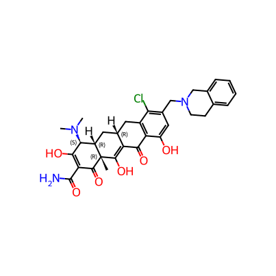 CN(C)[C@@H]1C(O)=C(C(N)=O)C(=O)[C@@]2(C)C(O)=C3C(=O)c4c(O)cc(CN5CCc6ccccc6C5)c(Cl)c4C[C@H]3C[C@@H]12